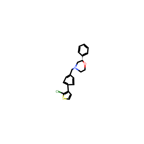 Clc1sccc1-c1ccc(CN2CCO[C@@H](c3ccccc3)C2)cc1